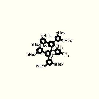 CCCCCCc1cc(CCCCCC)cc(-c2cc(-c3cc(CCCCCC)cc(CCCCCC)c3)cc(N(c3cc(-c4cc(CCCCCC)cc(CCCCCC)c4)cc(-c4cc(CCCCCC)cc(CCCCCC)c4)c3)c3c(C)cc(C)cc3C)c2)c1